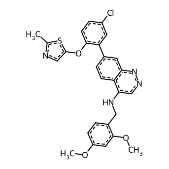 COc1ccc(CNc2cnnc3cc(-c4cc(Cl)ccc4Oc4cnc(C)s4)ccc23)c(OC)c1